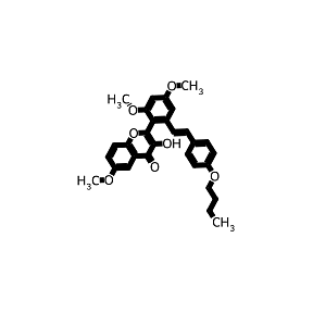 CCCCOc1ccc(C=Cc2cc(OC)cc(OC)c2-c2oc3ccc(OC)cc3c(=O)c2O)cc1